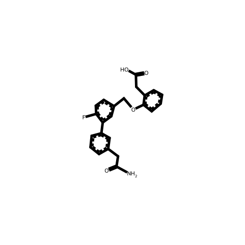 NC(=O)Cc1cccc(-c2cc(COc3ccccc3CC(=O)O)ccc2F)c1